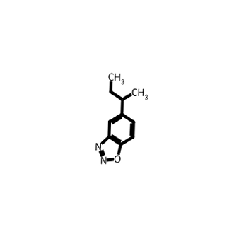 CCC(C)c1ccc2onnc2c1